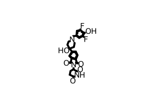 O=C1CCC(N2C(=O)c3ccc(C4(O)CCN(Cc5cc(F)c(O)c(F)c5)CC4)cc3C2=O)C(=O)N1